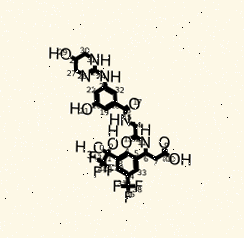 CC(O)(c1cc(C(CC(=O)O)NC(=O)CNC(=O)c2cc(O)cc(NC3=NCC(O)CN3)c2)cc(C(F)(F)F)c1)C(F)(F)F